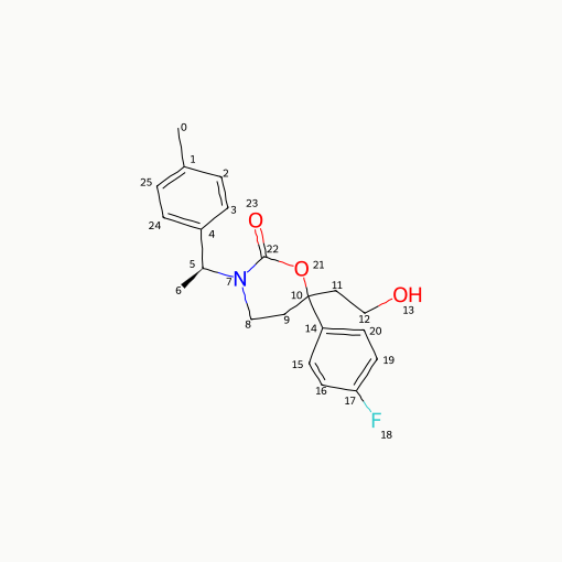 Cc1ccc([C@H](C)N2CCC(CCO)(c3ccc(F)cc3)OC2=O)cc1